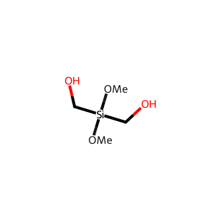 CO[Si](CO)(CO)OC